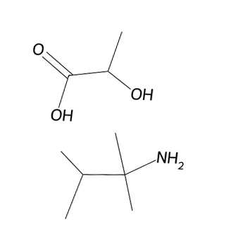 CC(C)C(C)(C)N.CC(O)C(=O)O